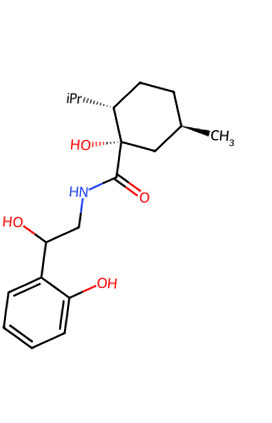 CC(C)[C@@H]1CC[C@@H](C)C[C@@]1(O)C(=O)NCC(O)c1ccccc1O